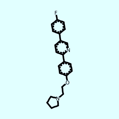 Fc1ccc(-c2ccc(-c3ccc(OCCN4CCCC4)cc3)nc2)cc1